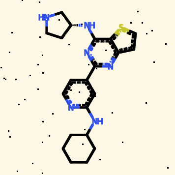 c1cc(-c2nc(N[C@@H]3CCNC3)c3sccc3n2)cc(NC2CCCCC2)n1